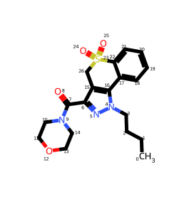 CCCCn1nc(C(=O)N2CCOCC2)c2c1-c1ccccc1S(=O)(=O)C2